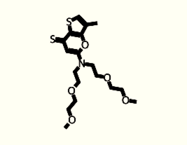 COCCOCCN(CCOCCOC)c1cc(=S)c2scc(C)c2o1